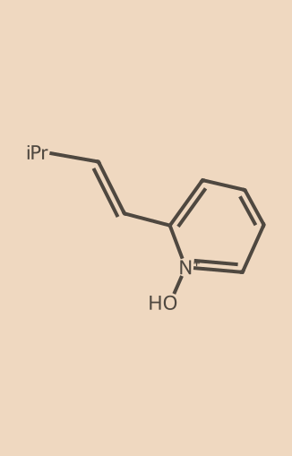 CC(C)/C=C/c1cccc[n+]1O